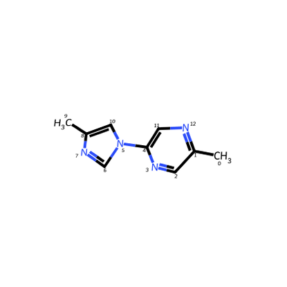 Cc1cnc(-n2cnc(C)c2)cn1